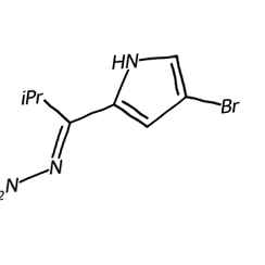 CC(C)C(=NN)c1cc(Br)c[nH]1